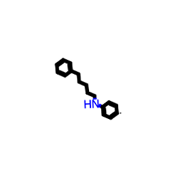 [c]1ccc(NCCCCCc2ccccc2)cc1